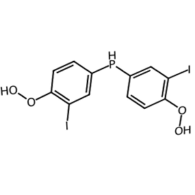 OOc1ccc(Pc2ccc(OO)c(I)c2)cc1I